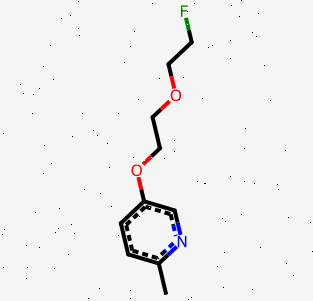 Cc1ccc(OCCOCCF)cn1